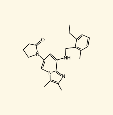 CCc1cccc(C)c1CNc1cc(N2CCCC2=O)cn2c(C)c(C)nc12